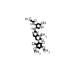 C=CC(=O)NC1CC(O)NCC1Nc1ncc2c(n1)N(C)C(=O)N(c1c(Cl)c(OC)cc(OC)c1Cl)C2